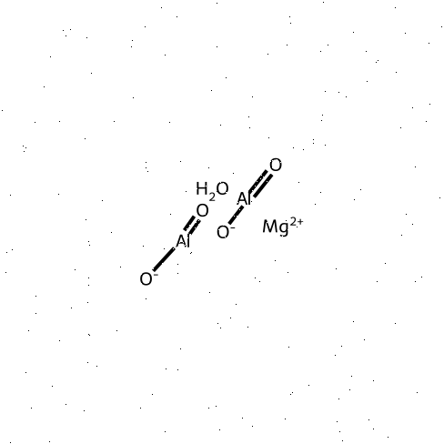 O.[Mg+2].[O]=[Al][O-].[O]=[Al][O-]